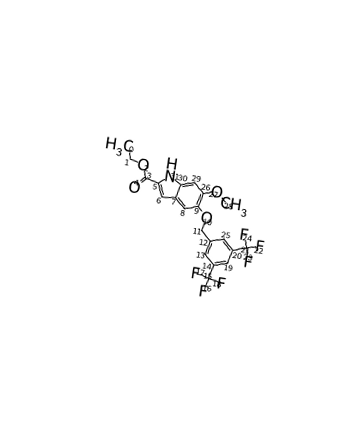 CCOC(=O)c1cc2cc(OCc3cc(C(F)(F)F)cc(C(F)(F)F)c3)c(OC)cc2[nH]1